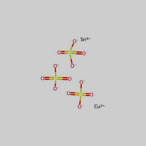 O=S(=O)([O-])[O-].O=S(=O)([O-])[O-].O=S(=O)([O-])[O-].[Cu+2].[Sn+4]